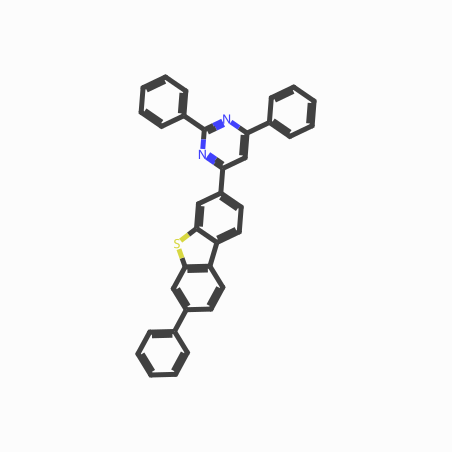 c1ccc(-c2ccc3c(c2)sc2cc(-c4cc(-c5ccccc5)nc(-c5ccccc5)n4)ccc23)cc1